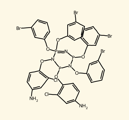 Nc1ccc(ON2P(Oc3ccc(N)cc3Cl)N(Oc3cccc(Br)c3)P(Oc3cccc(Br)c3)N=P2(Oc2cccc(Br)c2)Oc2cccc(Br)c2)c(Cl)c1